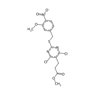 COC(=O)CCc1c(Cl)nc(SCc2ccc([N+](=O)[O-])c(OC)c2)nc1Cl